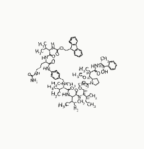 CC[C@H](C)[C@@H]([C@@H](CC(=O)N1CCCC1[C@H](OC)[C@@H](C)C(=O)N[C@H](C)[C@@H](O)c1ccccc1)OC)N(C)C(=O)C(NC(=O)C(C(C)C)[N+](C)(C)Cc1ccc(NC(=O)C(CCCNC(N)=O)NC(=O)C(NC(=O)OCC2c3ccccc3-c3ccccc32)C(C)C)cc1)C(C)C